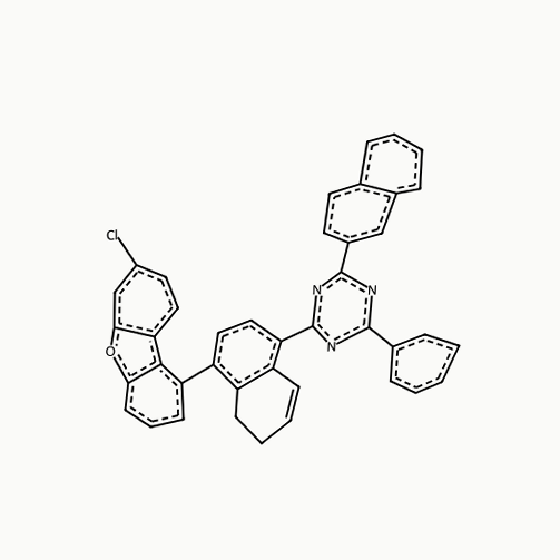 Clc1ccc2c(c1)oc1cccc(-c3ccc(-c4nc(-c5ccccc5)nc(-c5ccc6ccccc6c5)n4)c4c3CCC=C4)c12